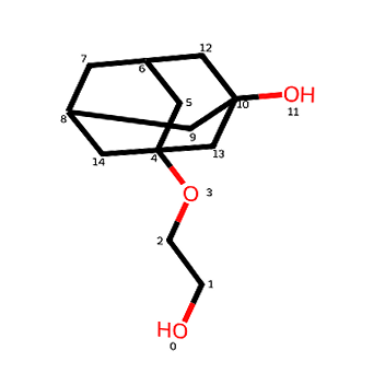 OCCOC12CC3CC(CC(O)(C3)C1)C2